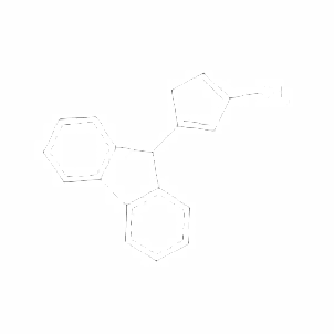 CC1=CCC(C2c3[c]cccc3-c3ccccc32)=C1